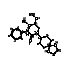 CCOC(CN(C(=O)Nc1ccccc1)C1CCC2(CC1)OCCO2)OCC